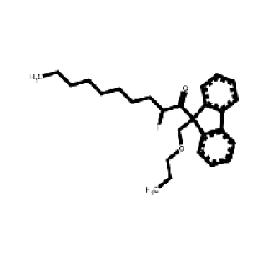 CCCCCCCCC(I)C(=O)C1(COCCC)c2ccccc2-c2ccccc21